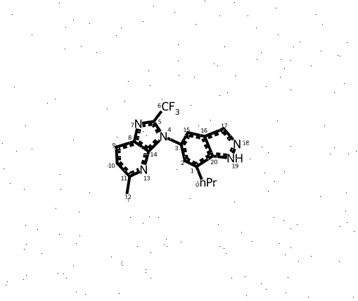 CCCc1cc(-n2c(C(F)(F)F)nc3ccc(C)nc32)cc2cn[nH]c12